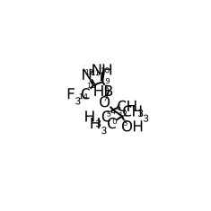 CC(C)(O)C(C)(C)OBc1c[nH]nc1C(F)(F)F